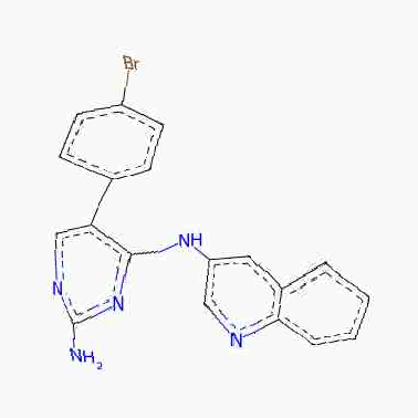 Nc1ncc(-c2ccc(Br)cc2)c(Nc2cnc3ccccc3c2)n1